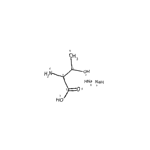 CC(O)C(N)C(=O)O.[NaH].[NaH]